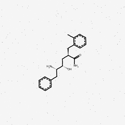 Cc1ccccc1C[C@H](C[C@H](O)[C@@H](N)Cc1ccccc1)C(N)=O